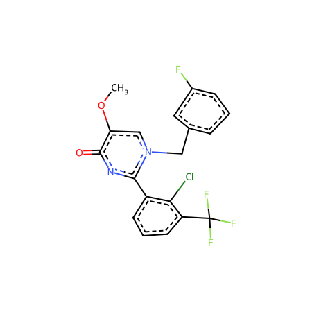 COc1cn(Cc2cccc(F)c2)c(-c2cccc(C(F)(F)F)c2Cl)nc1=O